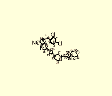 C[C@H](c1ccc(Cl)cc1Cl)n1nc(C#N)c2ncc(N3CC([C@@H]4CCCN(CCS(=O)(=O)N5CCOCC5)C4)C3)nc21